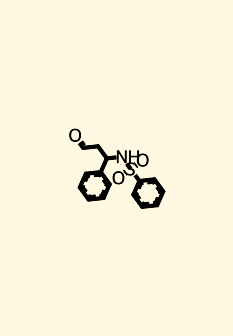 O=CCC(NS(=O)(=O)c1ccccc1)c1ccccc1